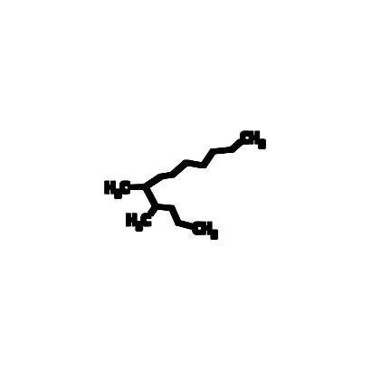 CCCCCCCC(C)C(C)CCC